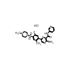 Cc1cc(S(=O)(=O)N2CCN(C)CC2)c(F)cc1-c1cnc(N)c(C(=O)Nc2cccnc2)n1.Cl